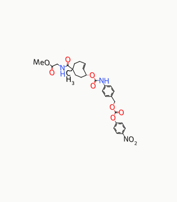 COC(=O)CNC(=O)[C@]1(C)CC/C=C/[C@H](OC(=O)Nc2ccc(COC(=O)Oc3ccc([N+](=O)[O-])cc3)cc2)CC1